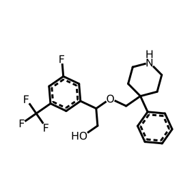 OCC(OCC1(c2ccccc2)CCNCC1)c1cc(F)cc(C(F)(F)F)c1